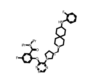 CC(C)N(C(=O)c1cc(F)ccc1Oc1nncnc1N1CC[C@@H](CN2CCC3(CCC(Nc4ccccc4F)CC3)CC2)C1)C(C)C